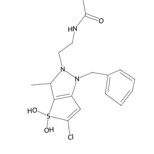 CC1C2=C(C=C(Cl)S2(O)O)N(Cc2ccccc2)N1CCNC(=O)O